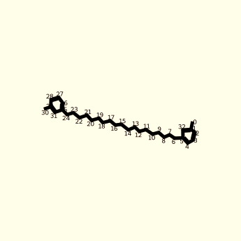 Cc1cccc(CCCCCCCCCCCCCCCCCCCc2cccc(C)c2)c1